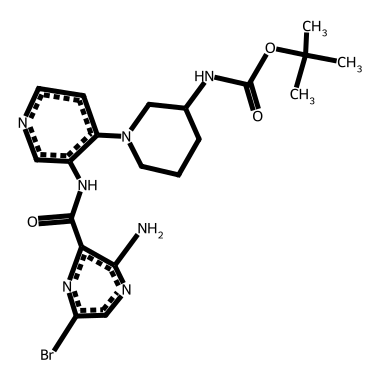 CC(C)(C)OC(=O)NC1CCCN(c2ccncc2NC(=O)c2nc(Br)cnc2N)C1